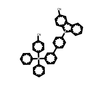 N#Cc1ccc([Si](c2ccccc2)(c2ccccc2)c2cccc(-c3ccc(-n4c5ccccc5c5cc(C#N)ccc54)cc3)c2)cc1